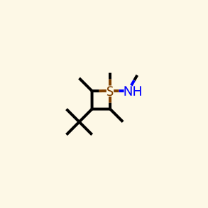 CNS1(C)C(C)C(C(C)(C)C)C1C